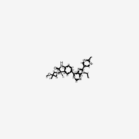 CCn1c(-c2cnc(C)nc2)nc2c(-c3ccc4c(c3)[C@](C)(N3CC(C)(OC)C3)C(=O)N4)ncnc21